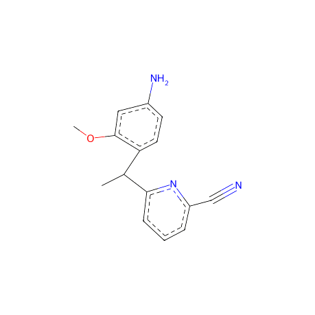 COc1cc(N)ccc1C(C)c1cccc(C#N)n1